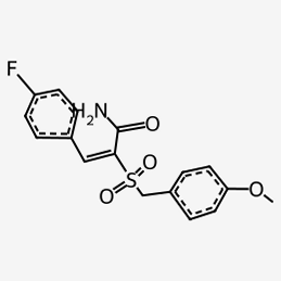 COc1ccc(CS(=O)(=O)/C(=C/c2ccc(F)cc2)C(N)=O)cc1